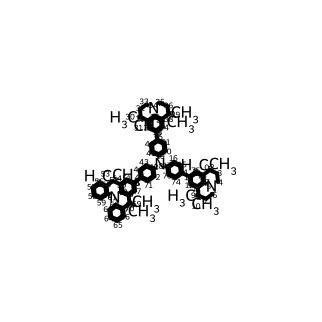 CC1(C)CCN2CCC(C)(C)c3cc(-c4ccc(N(c5ccc(-c6cc7c8c(c6)C(C)(C)CCN8CCC7(C)C)cc5)c5ccc(-c6cc7c8c(c6)C(C)(C)c6ccccc6N8c6ccccc6C7(C)C)cc5)cc4)cc1c32